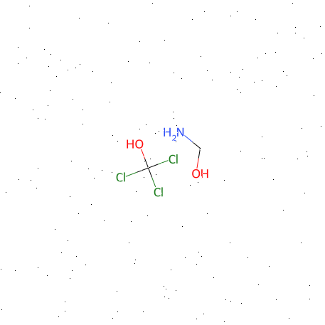 NCO.OC(Cl)(Cl)Cl